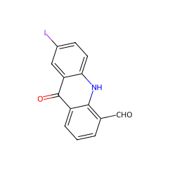 O=Cc1cccc2c(=O)c3cc(I)ccc3[nH]c12